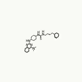 CN(C)c1nc(NC2CCC(NC(=S)NCCCCc3ccccc3)CC2)nc2ccccc12